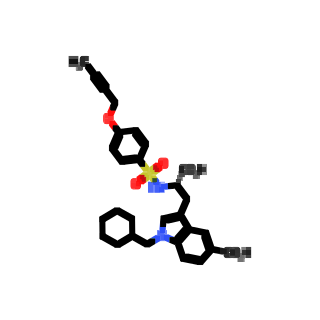 CC#CCOc1ccc(S(=O)(=O)N[C@@H](Cc2cn(CC3CCCCC3)c3ccc(C(=O)O)cc23)C(=O)O)cc1